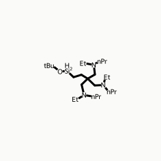 CCCN(CC)CC(CC[SiH2]OC(C)(C)C)(CN(CC)CCC)CN(CC)CCC